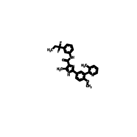 CCC(F)(F)c1cccc(NC(=O)c2nc(-c3ccc(OC)c(-c4ncccc4C)c3)[nH]c2C)c1